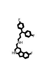 Fc1ccc(C(CCCNCC2CNC3=C(C2)c2cc(F)ccc2C3)c2ccc(F)cc2)cc1